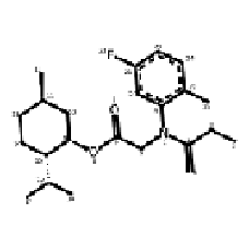 C=C(CC)N(CC(=O)O[C@@H]1C[C@H](C)CC[C@H]1C(C)C)c1cc(F)ccc1C